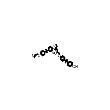 CCC(C)(CC(O)COc1ccc(C(C)(C)c2ccc(O)cc2)cc1)Oc1ccc(C(C)(C)c2ccc(OCC3CO3)cc2)cc1